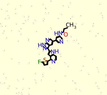 CCCC(=O)Nc1cncc(-c2cnc3[nH]nc(-c4cc5c(-c6ccc(F)s6)nccc5[nH]4)c3c2)c1